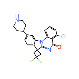 O=c1nc2n(c3cccc(Cl)c13)-c1cc(C3CCNCC3)ccc1C21CC(F)(F)C1